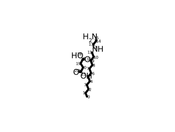 CCCCCCCCCCCCNCCN.O=C(O)CCC(=O)O